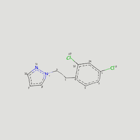 Clc1ccc(CCn2cccn2)c(Cl)c1